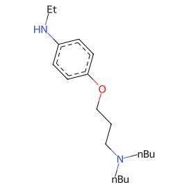 CCCCN(CCCC)CCCOc1ccc(NCC)cc1